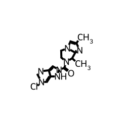 Cc1cn2c(n1)C(C)N(C(=O)N1C=C3N=CN(Cl)C=C3N1)CC2